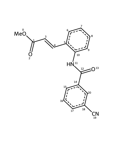 COC(=O)/C=C/c1ccccc1NC(=O)c1cccc(C#N)c1